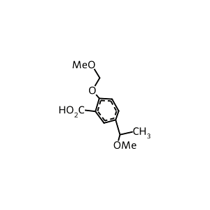 COCOc1ccc(C(C)OC)cc1C(=O)O